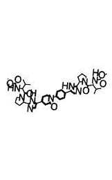 COC(=O)NC(C(=O)N1CCCC1c1ncc(-c2ccc(-n3ccc(-c4cnc(C5CCCN5C(=O)C(NC(=O)OC)C(C)C)[nH]4)cc3=O)cc2)[nH]1)C(C)C